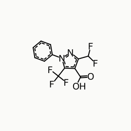 O=C(O)c1c(C(F)F)nn(-c2ccccc2)c1C(F)(F)F